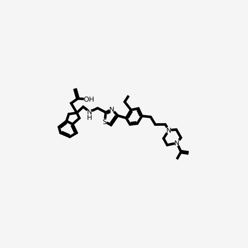 C=C(O)CC1(CNCc2nc(-c3ccc(CCCN4CCN(C(=C)C)CC4)cc3CC)cs2)Cc2ccccc2C1